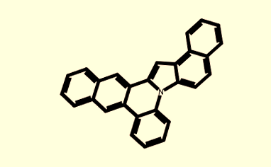 c1ccc2cc3c(cc2c1)c1ccccc1n1c2ccc4ccccc4c2cc31